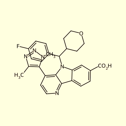 Cc1nnn(C)c1-c1ccnc2c3ccc(C(=O)O)cc3n(C(c3ccc(F)cc3)C3CCOCC3)c12